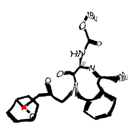 CCCCC1=N[C@H](NC(=O)OC(C)(C)C)C(=O)N(CC(=O)N2CC3CCC(CC3)C2)c2ccccc21